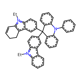 CCn1c2c(c3cc(C4(c5ccc6c(c5)c5ccccc5n6CC)c5ccccc5N(c5ccccc5)c5ccccc54)ccc31)CCC=C2